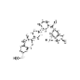 COc1ccc2c(c1)CCN(C1CCN(c3cc(C(=O)c4cc(C)c5c(c4)CC(=O)N5)ncn3)CC1)C(=O)N2